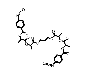 CC(OC(=O)c1ccc(N=C=O)cc1)C(=O)OC(C)C(=O)OCCCOC(=O)C(C)OC(=O)C(C)OC(=O)c1ccc(N=C=O)cc1